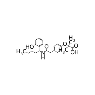 CCCCC(NC(=O)Cc1ccc(OC(C)(C)C(=O)O)cc1)c1ccccc1O